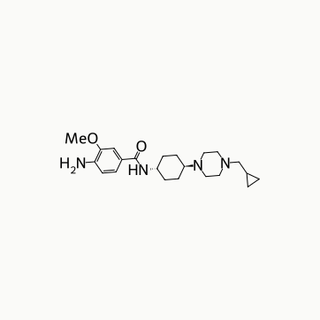 COc1cc(C(=O)N[C@H]2CC[C@H](N3CCN(CC4CC4)CC3)CC2)ccc1N